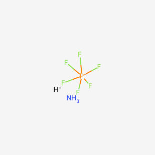 F[P-](F)(F)(F)(F)F.N.[H+]